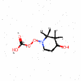 CC1(C)C(O)CCN(OOC(=O)O)C1(C)C